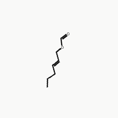 CCC/C=C/COC=O